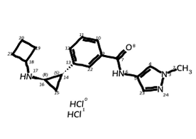 Cl.Cl.Cn1cc(NC(=O)c2cccc([C@@H]3C[C@H]3NC3CCC3)c2)cn1